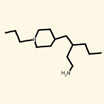 CCCC(CCN)CC1CCN(CCC)CC1